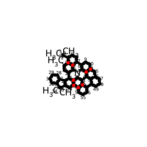 CC(C)(C)c1ccc(-c2ccccc2N(c2ccccc2-c2cccc3c2-c2ccccc2C3(C)C)c2ccccc2-c2cccc3cccc(-c4ccccc4)c23)cc1